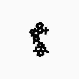 Cc1c[n+]2c(cc1-c1cnc(-c3c(C(C)C)cccc3C(C)C)s1)-c1cc(C(C)(C)C)c3ccccc3c1C1(C)C=CC21C